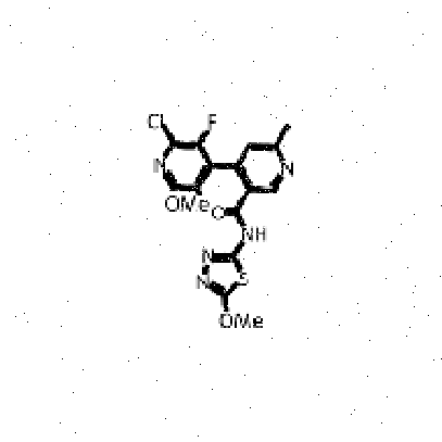 COc1nnc(NC(=O)c2cnc(C)cc2-c2c(OC)cnc(Cl)c2F)s1